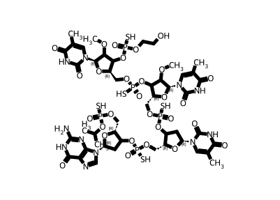 COC1C(OP(=O)(S)OC[C@H]2O[C@@H](n3cc(C)c(=O)[nH]c3=O)C(OC)C2OP(=O)(S)OCCO)[C@@H](COP(=O)(S)OC2C[C@H](n3cc(C)c(=O)[nH]c3=O)O[C@@H]2COP(=O)(S)OC2C[C@H](n3cnc4c(=O)[nH]c(N)nc43)O[C@@H]2COP(=O)(S)OC(C)C)O[C@H]1n1cc(C)c(=O)[nH]c1=O